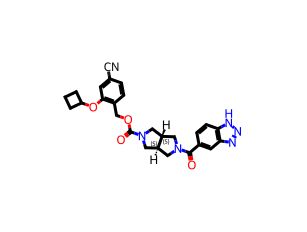 N#Cc1ccc(COC(=O)N2C[C@@H]3CN(C(=O)c4ccc5[nH]nnc5c4)C[C@H]3C2)c(OC2CCC2)c1